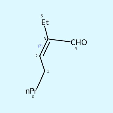 CCCC/C=C(\C=O)CC